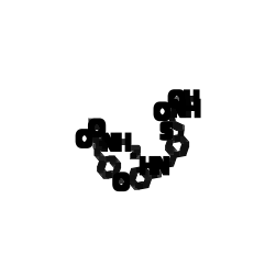 COC(=O)[C@@H](N)Cc1ccc(Oc2ccc(CNCc3ccc4cc(C(=O)NO)sc4c3)cc2)cc1